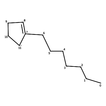 CCCCCCCC1=CCC[CH]1